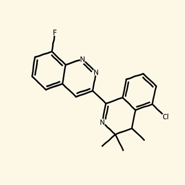 CC1c2c(Cl)cccc2C(c2cc3cccc(F)c3nn2)=NC1(C)C